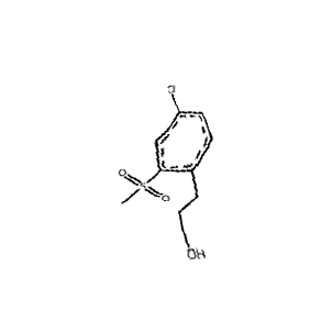 CS(=O)(=O)c1cc(Cl)ccc1CCO